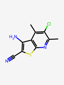 Cc1nc2sc(C#N)c(N)c2c(C)c1Cl